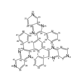 c1ccc(-c2nc3cnccc3nc2-c2cc(-c3nc4ccncc4nc3-c3ccccc3)cc(-c3nc4ccncc4nc3-c3ccccc3)c2)cc1